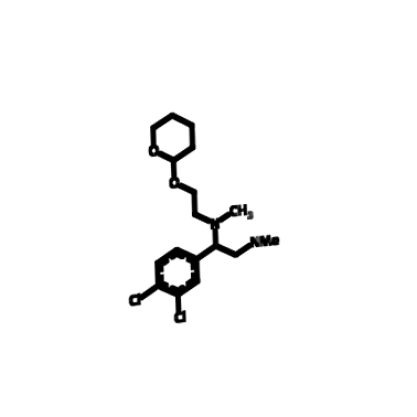 CNCC(c1ccc(Cl)c(Cl)c1)N(C)CCOC1CCCCO1